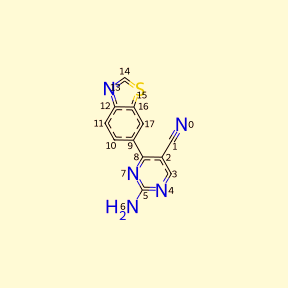 N#Cc1cnc(N)nc1-c1ccc2ncsc2c1